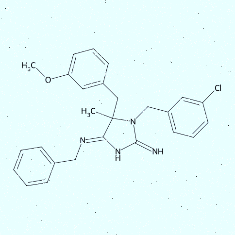 COc1cccc(CC2(C)/C(=N/Cc3ccccc3)NC(=N)N2Cc2cccc(Cl)c2)c1